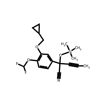 CC#CC(C#N)(O[Si](C)(C)C)c1ccc(OC(F)F)c(OCC2CC2)c1